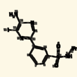 CC(C)NS(=O)(=O)c1cccc(-c2cnc(N)c(I)n2)c1